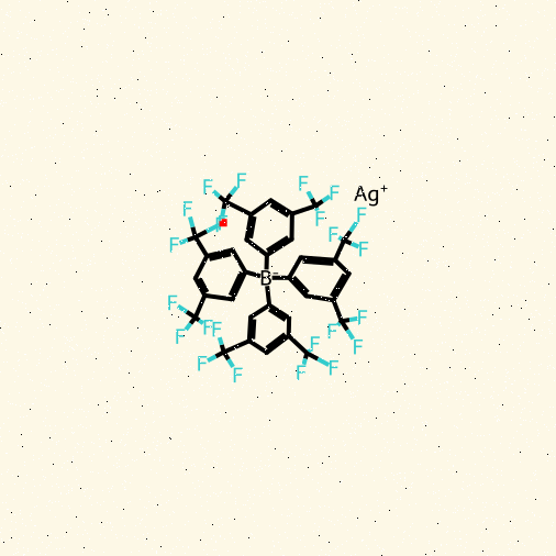 FC(F)(F)c1cc([B-](c2cc(C(F)(F)F)cc(C(F)(F)F)c2)(c2cc(C(F)(F)F)cc(C(F)(F)F)c2)c2cc(C(F)(F)F)cc(C(F)(F)F)c2)cc(C(F)(F)F)c1.[Ag+]